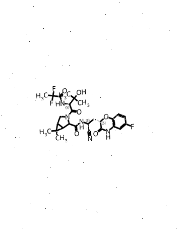 CC(F)(F)C(=O)N[C@H](C(=O)N1CC2C(C1C(=O)N[C@H](C#N)C[C@@H]1Oc3ccc(F)cc3NC1=O)C2(C)C)C(C)(C)O